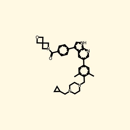 Cc1cc(-c2cnc3[nH]cc(-c4ccc(C(=O)N5CC6(COC6)C5)cc4)c3c2)cc(C)c1CN1CCN(CC2CC2)CC1